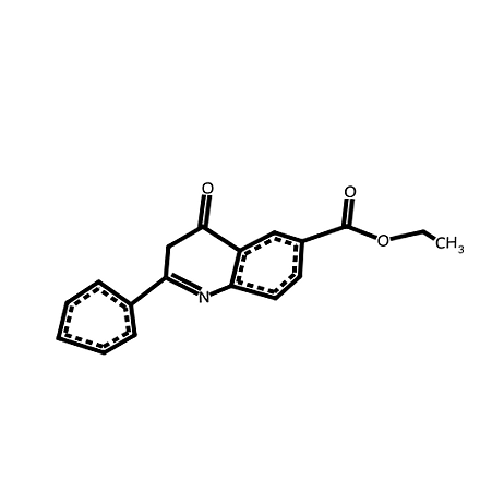 CCOC(=O)c1ccc2c(c1)C(=O)CC(c1ccccc1)=N2